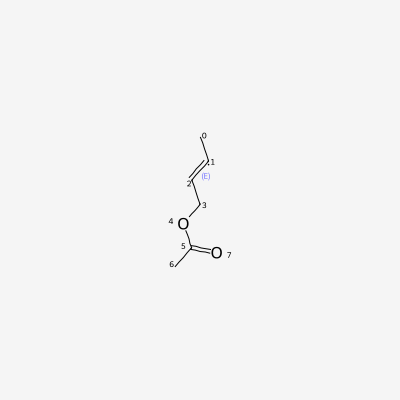 C/[C]=C/COC(C)=O